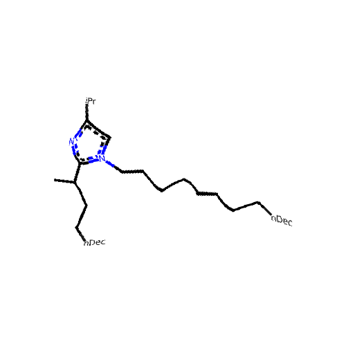 CCCCCCCCCCCCCCCCCCn1cc(C(C)C)nc1C(C)CCCCCCCCCCCC